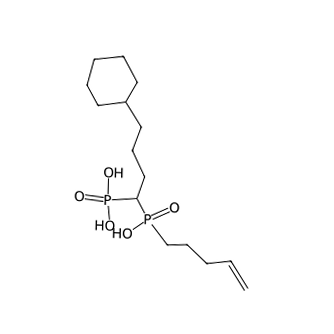 C=CCCCP(=O)(O)C(CCCC1CCCCC1)P(=O)(O)O